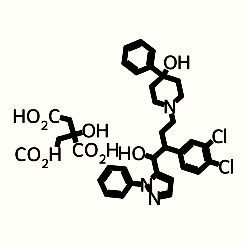 O=C(O)CC(O)(CC(=O)O)C(=O)O.OC(c1ccnn1-c1ccccc1)C(CCN1CCC(O)(c2ccccc2)CC1)c1ccc(Cl)c(Cl)c1